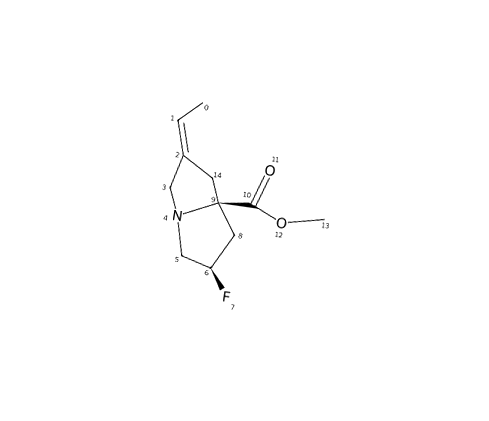 CC=C1CN2C[C@H](F)C[C@@]2(C(=O)OC)C1